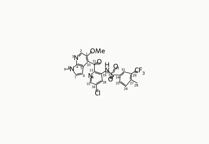 COc1cnc2c(ccn2C)c1C(=O)c1ncc(Cl)cc1NS(=O)(=O)c1ccc(C)c(C(F)(F)F)c1